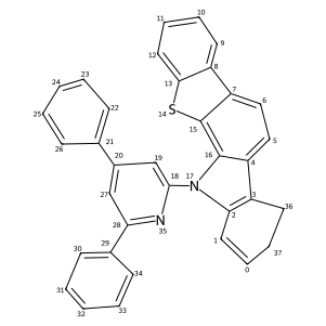 C1=Cc2c(c3ccc4c5ccccc5sc4c3n2-c2cc(-c3ccccc3)cc(-c3ccccc3)n2)CC1